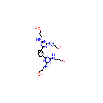 OCCCNc1nc(NCCCO)nc(C2CC3CC(c4nc(NCCCO)nc(NCCCO)n4)C2C3)n1